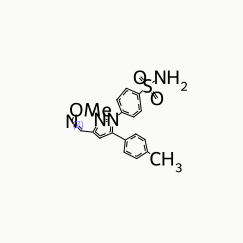 CO/N=C\c1cc(-c2ccc(C)cc2)n(-c2ccc(S(N)(=O)=O)cc2)n1